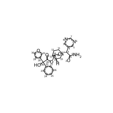 NC(=O)C(c1cncnc1)[N+]12CCC(CC1)[C@@H](OC(=O)C(O)(c1ccccc1)c1ccoc1)C2